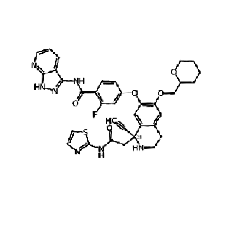 C#C[C@]1(CC(=O)Nc2nccs2)NCCc2cc(OCC3CCCCO3)c(Oc3ccc(C(=O)Nc4n[nH]c5ncccc45)c(F)c3)cc21